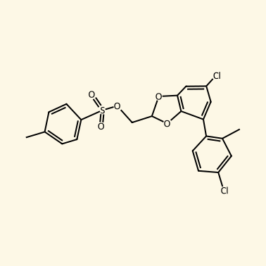 Cc1ccc(S(=O)(=O)OCC2Oc3cc(Cl)cc(-c4ccc(Cl)cc4C)c3O2)cc1